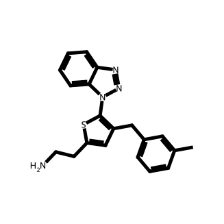 Cc1cccc(Cc2cc(CCN)sc2-n2nnc3ccccc32)c1